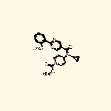 COc1ccccc1-c1ncc(C(=O)N(C2CC2)C2CCN(C(=O)OC(C)(C)C)CC2)cn1